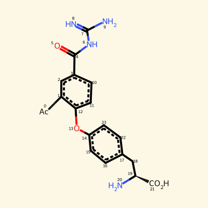 CC(=O)c1cc(C(=O)NC(=N)N)ccc1Oc1ccc(C[C@H](N)C(=O)O)cc1